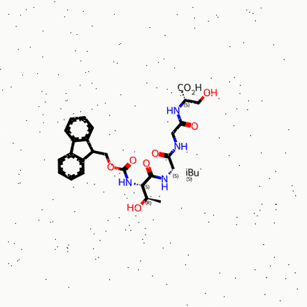 CC[C@H](C)[C@H](NC(=O)[C@@H](NC(=O)OCC1c2ccccc2-c2ccccc21)[C@@H](C)O)C(=O)NCC(=O)N[C@@H](CO)C(=O)O